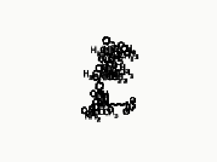 CC[C@H](C)[C@@H]([C@@H](CC(=O)N1CCC[C@H]1[C@H](OC)[C@@H](C)C(=O)N[C@@H](Cc1ccccc1)C(=O)OC(C)(C)C)OC)N(C)C(=O)[C@@H](NC(=O)c1ccc(NC(=O)[C@H](CCCNC(N)=O)NC(=O)[C@@H](NC(=O)CCCCCN2C(=O)C=CC2=O)C(C)C)cc1)C(C)C